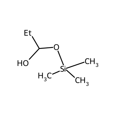 CCC(O)O[Si](C)(C)C